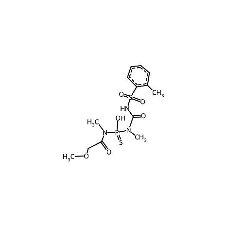 COCC(=O)N(C)P(O)(=S)N(C)C(=O)NS(=O)(=O)c1ccccc1C